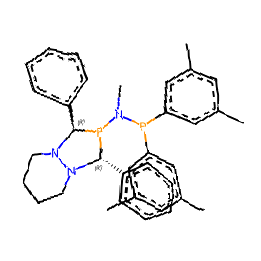 Cc1cc(C)cc(P(c2cc(C)cc(C)c2)N(C)P2[C@H](c3ccccc3)N3CCCCN3[C@H]2c2ccccc2)c1